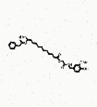 CCCCCCC(C/C=C/CCCCCCCC(=O)OCC(=O)NCc1ccc(O)c(OC)c1)OC(=O)Cc1ccccc1